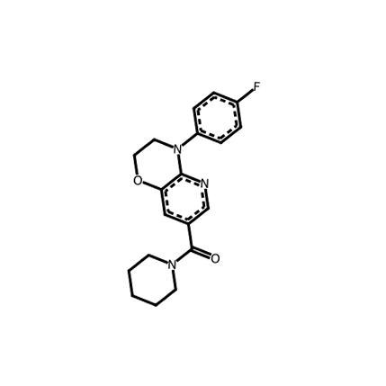 O=C(c1cnc2c(c1)OCCN2c1ccc(F)cc1)N1CCCCC1